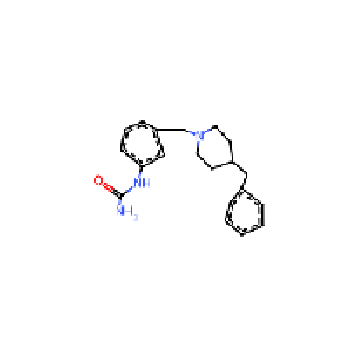 NC(=O)Nc1cccc(CN2CCC(Cc3ccccc3)CC2)c1